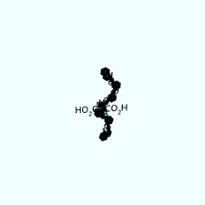 O=C(O)c1ccc(COc2cccc(OCc3ccc4ccccc4n3)c2)c(OC(C(=O)O)n2nnnc2COc2cccc(COc3cccc(OCc4ccc5ccccc5n4)c3)c2)c1